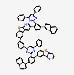 c1ccc(-c2cc(-c3ccccc3)nc(-c3cc(-c4ccc5ccccc5c4)ccc3-c3cnc4sc5ccc(-c6cccc(-c7cc(-c8ccccc8)nc(-c8cc(-c9cccc%10ccccc9%10)ccc8-c8ccc9sc%10cccnc%10c9c8)n7)c6)cc5c4c3)n2)cc1